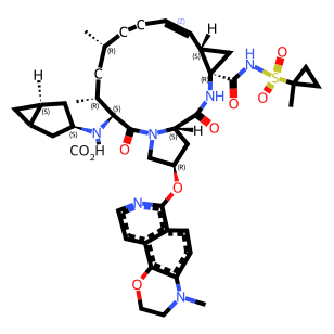 C[C@@H]1CC/C=C\[C@@H]2C[C@@]2(C(=O)NS(=O)(=O)C2(C)CC2)NC(=O)[C@@H]2C[C@@H](Oc3nccc4c5c(ccc34)N(C)CCO5)CN2C(=O)[C@@H](N(C(=O)O)[C@H]2CC3C[C@H]3C2)[C@H](C)C1